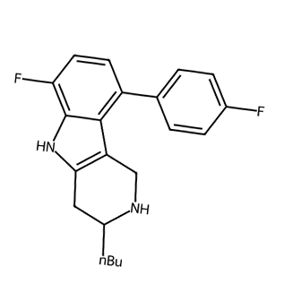 CCCCC1Cc2[nH]c3c(F)ccc(-c4ccc(F)cc4)c3c2CN1